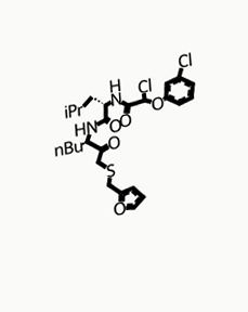 CCCC[C@H](NC(=O)[C@H](CC(C)C)NC(=O)C(Cl)Oc1cccc(Cl)c1)C(=O)CSCc1ccco1